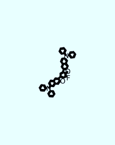 Fc1c2oc3cc4cc(N(c5ccccc5)c5ccccc5)ccc4cc3c2cc2c1oc1cc3cc(N(c4ccccc4)c4ccccc4)ccc3cc12